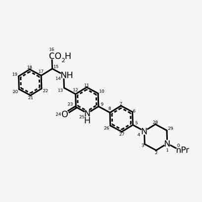 CCCN1CCN(c2ccc(-c3ccc(CNC(C(=O)O)c4ccccc4)c(=O)[nH]3)cc2)CC1